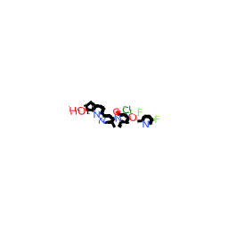 Cc1cnc(-c2ccc3c(n2)[C@](C)(O)CC3)cc1-n1c(C)cc(OCc2ncc(F)cc2F)c(Cl)c1=O